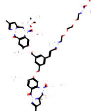 COc1cc2c(cc1OCc1cc(/C=C/C(=O)NCCOCCOCCNC(=O)OC(C)(C)C)cc(COc3cc4c(cc3OC)C(=O)N3C=C(C)C[C@H]3[C@H](O[Si](C)(C)C(C)(C)C)N4C(=O)OC(C)(C)C)c1)N(C(=O)OC(C)(C)C)[C@@H](O)[C@@H]1CC(C)=CN1C2=O